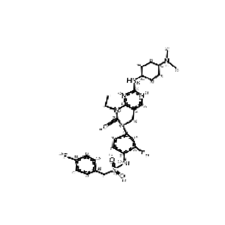 CCN1C(=O)N(c2ccc(NS(=O)(=O)Cc3ccc(F)cc3)c(F)c2)Cc2cnc(NC3CCC(N(C)C)CC3)nc21